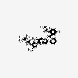 Cc1cn2nc([C@@H]3CCCCN3C(=O)c3cc(Cl)ccc3NS(C)(=O)=O)cc2nc1N1C[C@@H](C)[C@H](NC(=O)OC(C)(C)C)C1